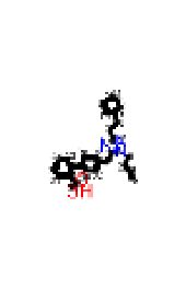 C/C=C/Cn1nc(CCc2ccccc2)nc1Cc1ccc(-c2ccccc2C(=O)O)cc1